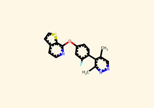 Cc1cnnc(C)c1-c1ccc(Oc2nccc3ccsc23)cc1F